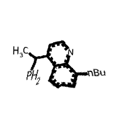 CCCCc1cccc2c(C(C)P)ccnc12